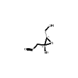 CCC[C@]1(CP=O)O[C@H]1CO